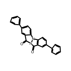 O=c1c2cc(-c3ccccc3)ccc2n2c3ccc(-c4ccccc4)cc3c(=O)n12